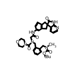 CN(Cc1ccccc1CN(CC(=O)Nc1ccc2c(c1)CC1(C2)C(=O)Nc2ncccc21)C(=O)N1CCOCC1)C(=O)OC(C)(C)C